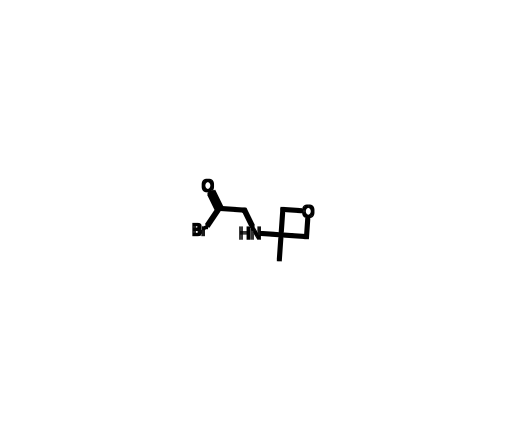 CC1(NCC(=O)Br)COC1